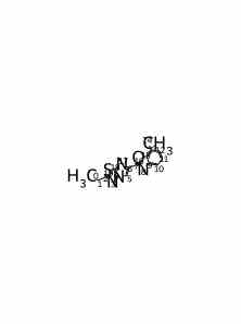 CCc1nn2cc(-c3nc4cccc(C)c4o3)nc2s1